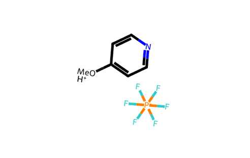 COc1ccncc1.F[P-](F)(F)(F)(F)F.[H+]